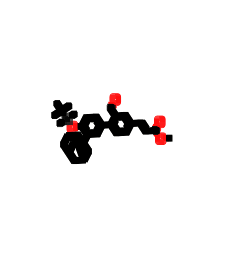 COC(=O)C=Cc1ccc(-c2ccc(O[Si](C)(C)C(C)(C)C)c(C34CC5CC(CC(C5)C3)C4)c2)c(C=O)c1